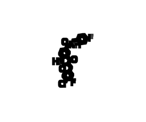 O=C(NCc1ccc(F)cc1)c1ccc2c(c1)C(=O)C(Cc1ccc(Cl)c(F)c1)C(=O)N2